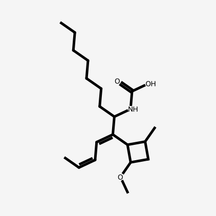 C/C=C\C=C(\C(CCCCCCC)NC(=O)O)C1C(C)CC1OC